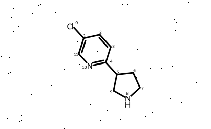 Clc1ccc(C2CCNC2)nc1